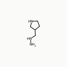 NNCC1CCNC1